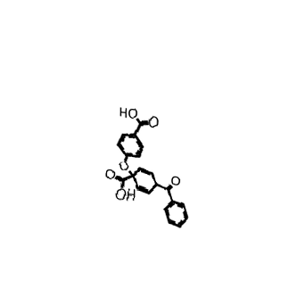 O=C(O)c1ccc(OC2(C(=O)O)C=CC(C(=O)c3ccccc3)C=C2)cc1